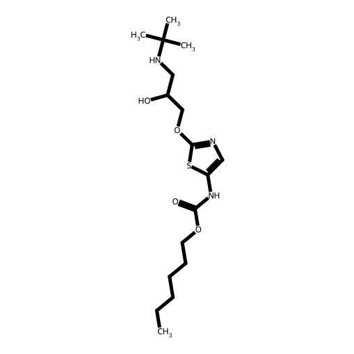 CCCCCCOC(=O)Nc1cnc(OCC(O)CNC(C)(C)C)s1